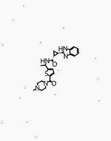 CC(NC(=O)[C@@H]1C[C@H]1c1nc2ccccc2[nH]1)c1ccc(C(=O)N2CCN(C)CC2)s1